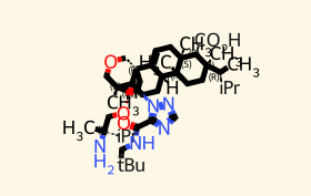 CC(C)[C@@H](C)[C@@]1(C)CC[C@]2(C)[C@H]3CC[C@@H]4[C@@]5(COC[C@@]4(C)[C@@H](OC[C@](C)(N)C(C)C)[C@H](n4ncnc4C(=O)NCC(C)(C)C)C5)C3=CC[C@@]2(C)[C@@H]1C(=O)O